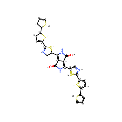 O=C1NC(C2CN=C(C3=CCC(C4CC=CS4)S3)S2)=C2C(=O)NC(c3cnc(-c4ccc(-c5cccs5)s4)s3)=C12